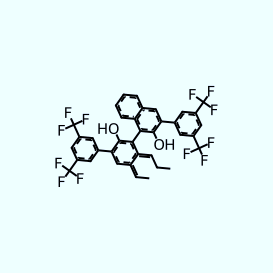 C/C=c1/cc(-c2cc(C(F)(F)F)cc(C(F)(F)F)c2)c(O)c(-c2c(O)c(-c3cc(C(F)(F)F)cc(C(F)(F)F)c3)cc3ccccc23)/c1=C/CC